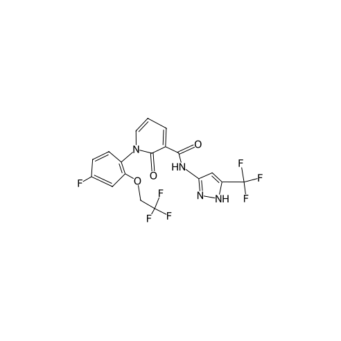 O=C(Nc1cc(C(F)(F)F)[nH]n1)c1cccn(-c2ccc(F)cc2OCC(F)(F)F)c1=O